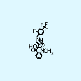 CN1C(=O)C(O)(c2cn(Cc3ccc(C(F)(F)F)cc3F)nn2)C(=O)c2ccccc21